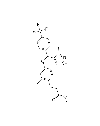 COC(=O)CCc1ccc(OC(c2ccc(C(F)(F)F)cc2)c2c[nH]nc2C)cc1C